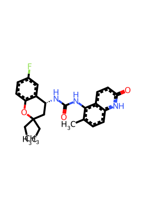 CCC1(CC)C[C@@H](NC(=O)Nc2c(C)ccc3[nH]c(=O)ccc23)c2cc(F)ccc2O1